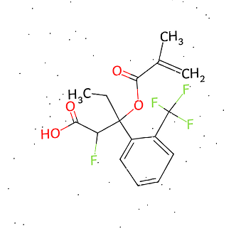 C=C(C)C(=O)OC(CC)(c1ccccc1C(F)(F)F)C(F)C(=O)O